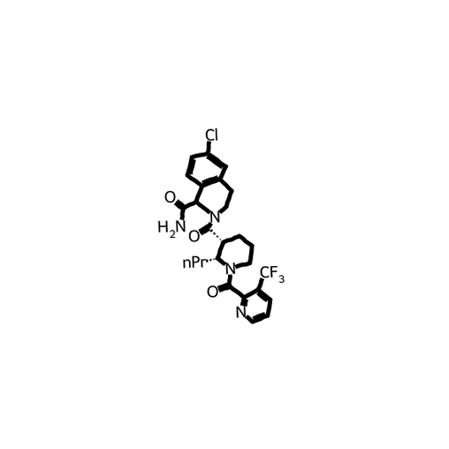 CCC[C@@H]1[C@H](C(=O)N2CCc3cc(Cl)ccc3C2C(N)=O)CCCN1C(=O)c1ncccc1C(F)(F)F